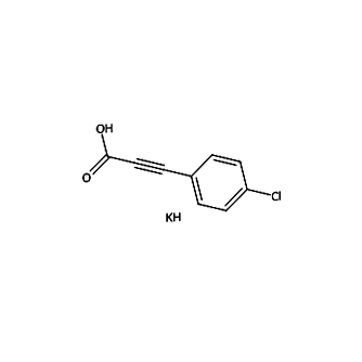 O=C(O)C#Cc1ccc(Cl)cc1.[KH]